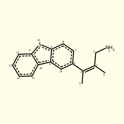 CC(CN)=C(C)c1ccc2sc3ccccc3c2c1